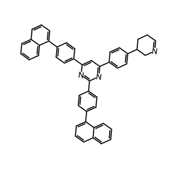 C1=NCC(c2ccc(-c3cc(-c4ccc(-c5cccc6ccccc56)cc4)nc(-c4ccc(-c5cccc6ccccc56)cc4)n3)cc2)CC1